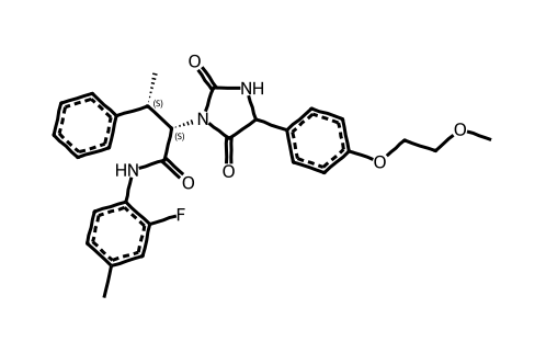 COCCOc1ccc(C2NC(=O)N([C@H](C(=O)Nc3ccc(C)cc3F)[C@@H](C)c3ccccc3)C2=O)cc1